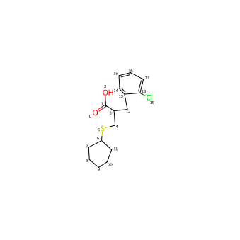 O=C(O)C(CSC1CCCCC1)Cc1ccccc1Cl